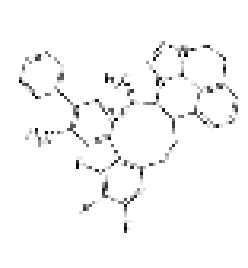 C=C1C2C(CCc3cc(F)c(F)c(F)c3-c3cc(C)c(-c4ccccc4)c[n+]31)c1cccc3c1C1N(C=CN21)CC3